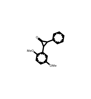 COc1ccc(OC)c(C2C(=O)C2c2ccccc2)c1